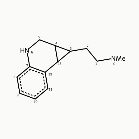 CNCCC1C2CNc3ccccc3C12